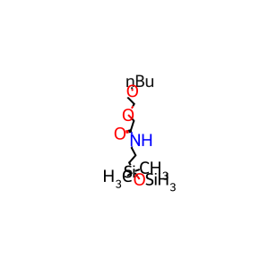 CCCCOCCOCC(=O)NCCC[Si](C)(C)O[SiH3]